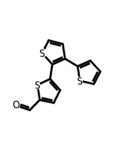 O=Cc1ccc(-c2sccc2-c2cccs2)s1